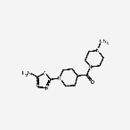 CN1CCN(C(=O)C2CCN(c3nnc(N)s3)CC2)CC1